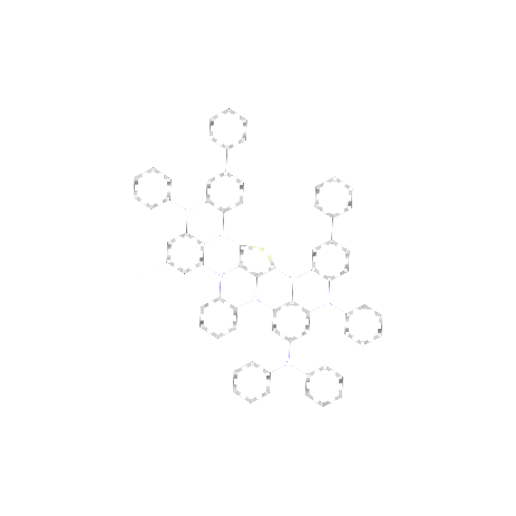 Cc1cc2c3c(c1)N1c4ccccc4N4c5cc(N(c6ccccc6)c6ccccc6)cc6c5B(c5cc(-c7ccccc7)ccc5N6c5ccccc5)c5sc(c1c54)B3c1ccc(-c3ccccc3)cc1N2c1ccccc1